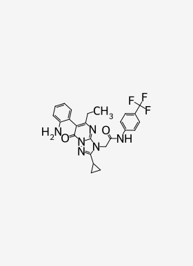 CCc1nc2n(CC(=O)Nc3ccc(C(F)(F)F)cc3)c(C3CC3)nn2c(=O)c1-c1ccccc1N